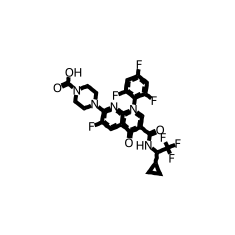 O=C(NC(C1CC1)C(F)(F)F)c1cn(-c2c(F)cc(F)cc2F)c2nc(N3CCN(C(=O)O)CC3)c(F)cc2c1=O